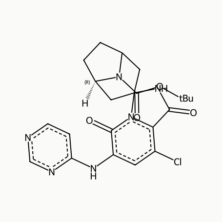 CC(C)(C)OC(=O)N1C2CC[C@@H]1CC1(C2)NC(=O)c2c(Cl)cc(Nc3ccncn3)c(=O)n21